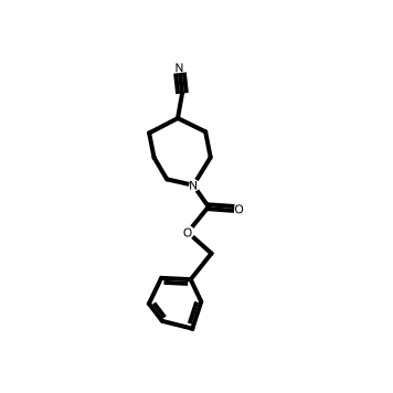 N#CC1CCCN(C(=O)OCc2ccccc2)CC1